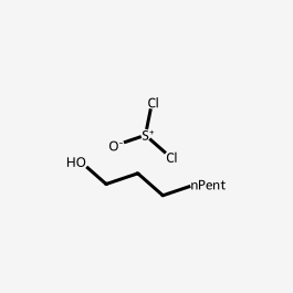 CCCCCCCCO.[O-][S+](Cl)Cl